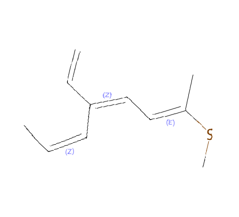 C=CC(/C=C\C)=C/C=C(\C)SC